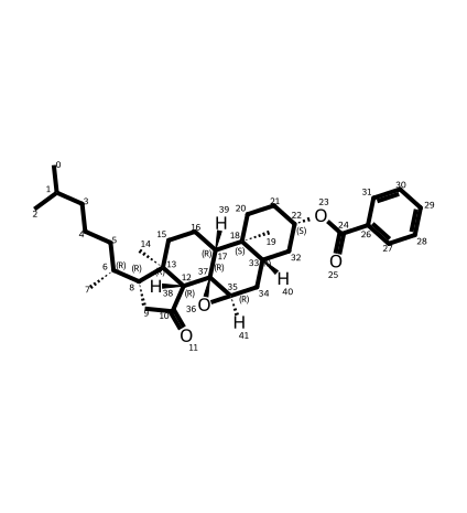 CC(C)CCC[C@@H](C)[C@H]1CC(=O)[C@@H]2[C@]1(C)CC[C@@H]1[C@@]3(C)CC[C@H](OC(=O)c4ccccc4)C[C@@H]3C[C@H]3O[C@]123